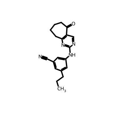 CCCc1cc(C#N)cc(Nc2ncc3c(n2)CCCCC3=O)c1